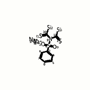 O=S(=O)(c1ccccc1)N(C(=S)[S-])C(=S)[S-].[Na+].[Na+]